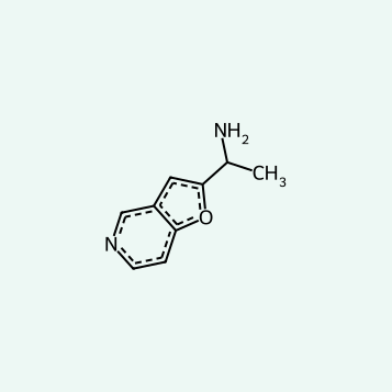 CC(N)c1cc2cnccc2o1